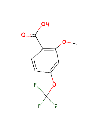 COc1cc(OC(F)(F)F)ccc1C(=O)O